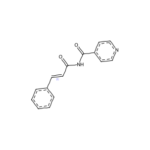 O=C(/C=C/c1ccccc1)NC(=O)c1ccncc1